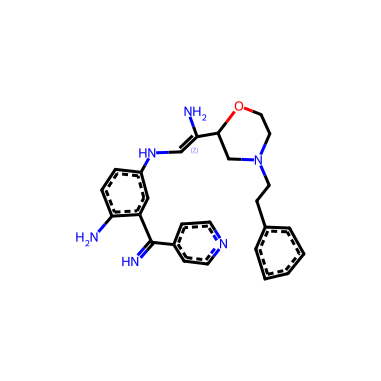 N=C(c1ccncc1)c1cc(N/C=C(\N)C2CN(CCc3ccccc3)CCO2)ccc1N